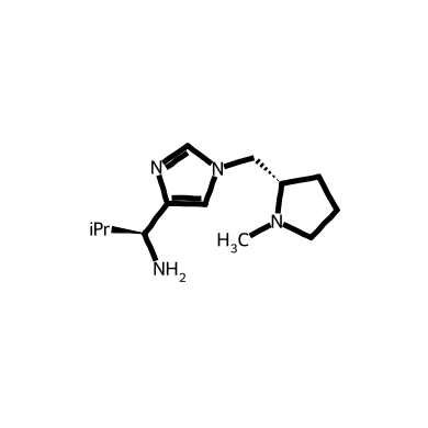 CC(C)[C@H](N)c1cn(C[C@@H]2CCCN2C)cn1